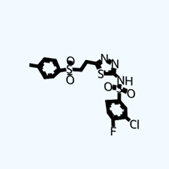 Cc1ccc(S(=O)(=O)CCc2nnc(NS(=O)(=O)c3ccc(F)c(Cl)c3)s2)cc1